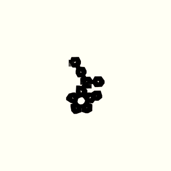 c1ccc(-c2cc(-c3ccc(-c4cccnc4)cc3)nc(-c3ccc4c5ccccc5c5ccccc5c5ccccc5c5cc6ccccc6cc5c4c3)n2)cc1